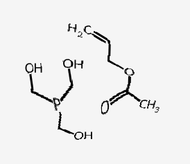 C=CCOC(C)=O.OCP(CO)CO